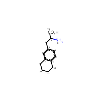 NC(Cc1ccc2c(c1)CCCC2)C(=O)O